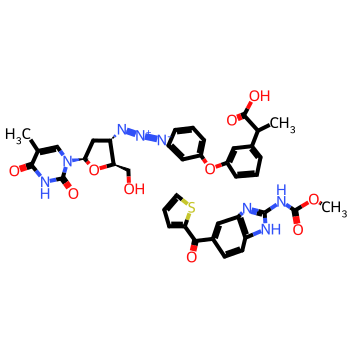 CC(C(=O)O)c1cccc(Oc2ccccc2)c1.COC(=O)Nc1nc2cc(C(=O)c3cccs3)ccc2[nH]1.Cc1cn([C@H]2C[C@H](N=[N+]=[N-])[C@@H](CO)O2)c(=O)[nH]c1=O